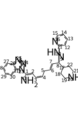 N/C(=C\C=C/C/C=C/C(=N\Nc1ccccn1)C1CCNCC1)n1nnc2ccccc21